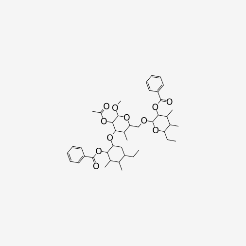 CCC1CC(OC2C(C)C(COC3OC(CC)C(C)C(C)C3OC(=O)c3ccccc3)OC(OC)C2OC(C)=O)C(OC(=O)c2ccccc2)C(C)C1C